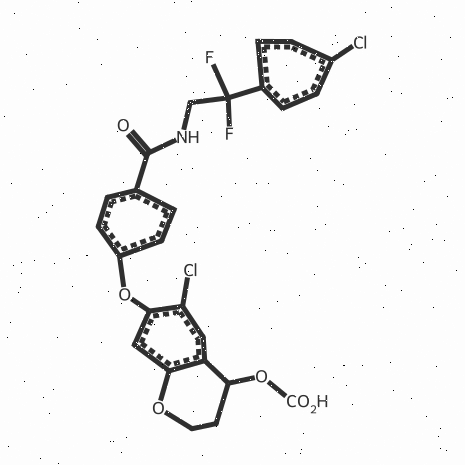 O=C(O)OC1CCOc2cc(Oc3ccc(C(=O)NCC(F)(F)c4ccc(Cl)cc4)cc3)c(Cl)cc21